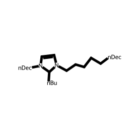 CCCCCCCCCCCCCCCN1C=CN(CCCCCCCCCC)C1CCCC